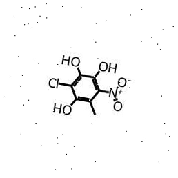 Cc1c(O)c(Cl)c(O)c(O)c1[N+](=O)[O-]